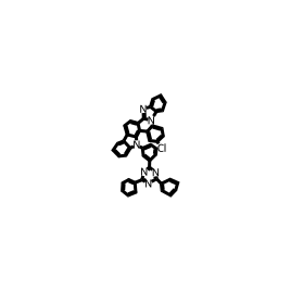 Clc1ccc2c(c1)c1c(ccc3c4ccccc4n(-c4cccc(-c5nc(-c6ccccc6)nc(-c6ccccc6)n5)c4)c31)c1nc3ccccc3n21